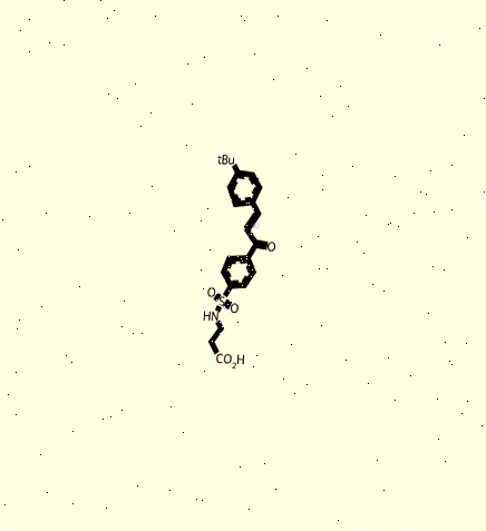 CC(C)(C)c1ccc(/C=C/C(=O)c2ccc(S(=O)(=O)NCCC(=O)O)cc2)cc1